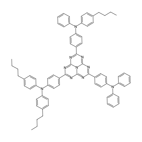 CCCCc1ccc(N(c2ccccc2)c2ccc(C3=NC4=NC(c5ccc(N(c6ccc(CCCC)cc6)c6ccc(CCCC)cc6)cc5)=NC5=NC(c6ccc(N(c7ccccc7)c7ccccc7)cc6)=NC(=N3)N54)cc2)cc1